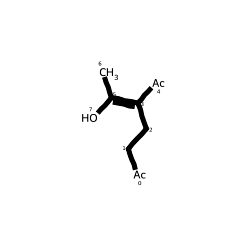 CC(=O)CC/C(C(C)=O)=C(/C)O